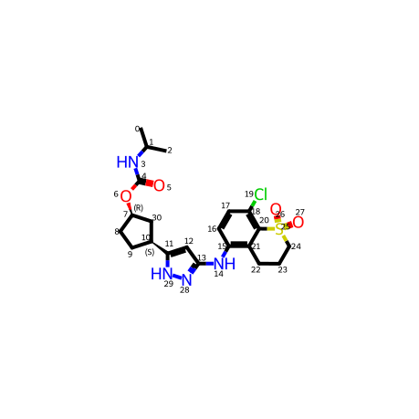 CC(C)NC(=O)O[C@@H]1CC[C@H](c2cc(Nc3ccc(Cl)c4c3CCCS4(=O)=O)n[nH]2)C1